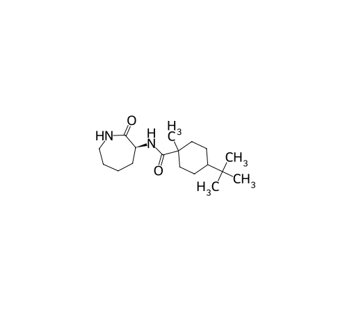 CC1(C(=O)N[C@H]2CCCCNC2=O)CCC(C(C)(C)C)CC1